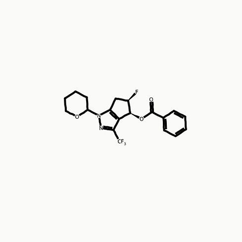 O=C(O[C@H]1c2c(C(F)(F)F)nn(C3CCCCO3)c2C[C@H]1F)c1ccccc1